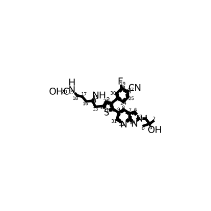 CC(C)(O)Cn1cc2cc(-c3sc(CC(N)CCCNC=O)cc3-c3ccc(C#N)c(F)c3)cnc2n1